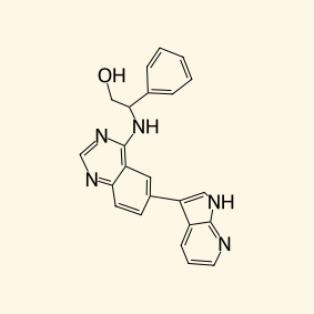 OCC(Nc1ncnc2ccc(-c3c[nH]c4ncccc34)cc12)c1ccccc1